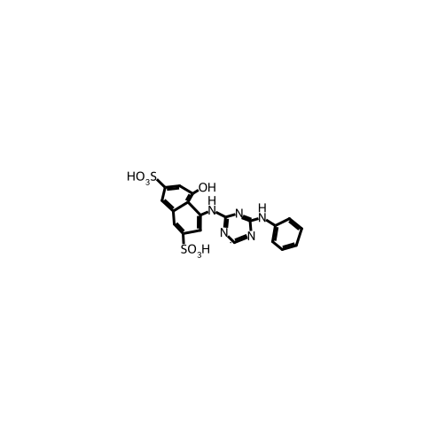 O=S(=O)(O)c1cc(O)c2c(Nc3n[c]nc(Nc4ccccc4)n3)cc(S(=O)(=O)O)cc2c1